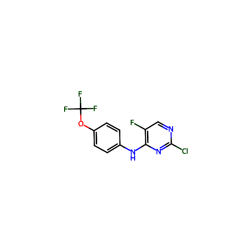 Fc1cnc(Cl)nc1Nc1ccc(OC(F)(F)F)cc1